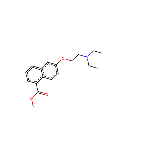 CCN(CC)CCOc1ccc2c(C(=O)OC)cccc2c1